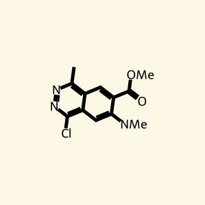 CNc1cc2c(Cl)nnc(C)c2cc1C(=O)OC